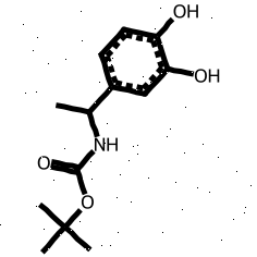 CC(NC(=O)OC(C)(C)C)c1ccc(O)c(O)c1